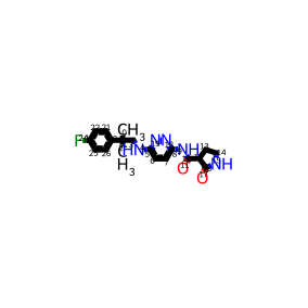 CC(C)(CNc1ccc(NC(=O)C2CCNC2=O)nn1)c1ccc(F)cc1